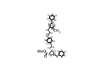 COC(=O)[C@H]1CN(Cc2ccccc2)C[C@H]1CCc1ccc(OCCc2nc(-c3ccccc3)oc2C)cc1